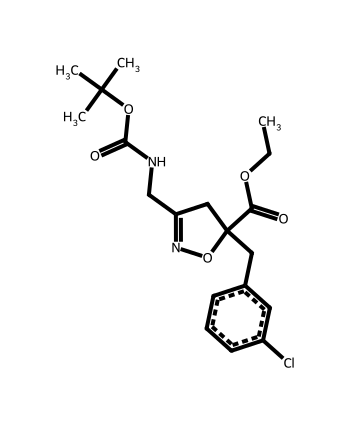 CCOC(=O)C1(Cc2cccc(Cl)c2)CC(CNC(=O)OC(C)(C)C)=NO1